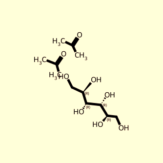 CC(C)=O.CC(C)=O.OC[C@@H](O)[C@@H](O)[C@H](O)[C@H](O)CO